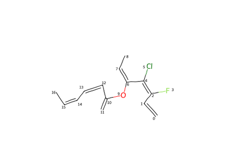 C=C/C(F)=C(Cl)\C(=C/C)OC(=C)/C=C\C=C/C